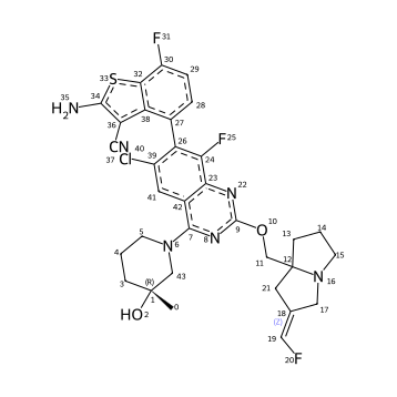 C[C@@]1(O)CCCN(c2nc(OCC34CCCN3C/C(=C\F)C4)nc3c(F)c(-c4ccc(F)c5sc(N)c(C#N)c45)c(Cl)cc23)C1